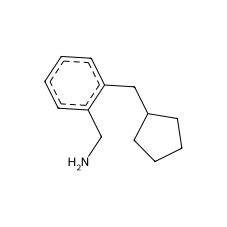 NCc1ccccc1CC1CCCC1